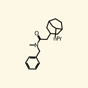 CCCC1CC2CCC1CC(CC(=O)N(C)Cc1ccccc1)C2